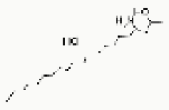 CCCCCCCCCCCCCCCCCC(N)CC(C)O.Cl